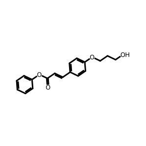 O=C(/C=C/c1ccc(OCCCO)cc1)Oc1ccccc1